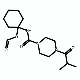 CC(C)C(=O)N1CCN(C(=O)NC2(OC=O)CCCCC2)CC1